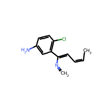 C=N/C(=C\C=C/C)c1cc(N)ccc1Cl